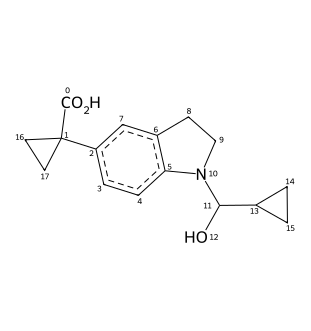 O=C(O)C1(c2ccc3c(c2)CCN3C(O)C2CC2)CC1